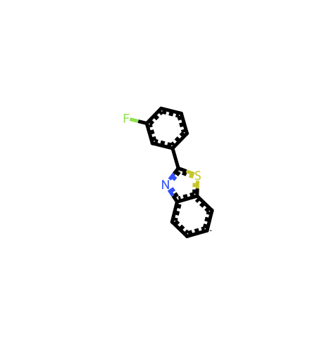 Fc1cccc(-c2nc3cc[c]cc3s2)c1